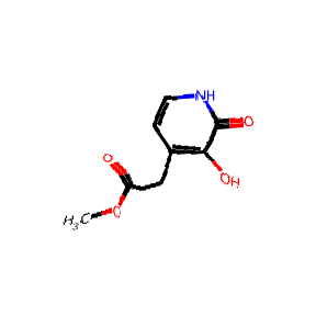 COC(=O)Cc1cc[nH]c(=O)c1O